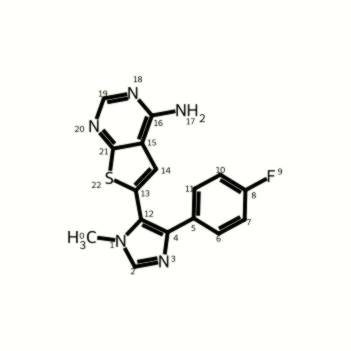 Cn1cnc(-c2ccc(F)cc2)c1-c1cc2c(N)ncnc2s1